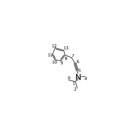 CC(C)N(C)C#CCc1ccccc1